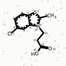 Cc1sc2ccc(Cl)cc2[n+]1CCC(=O)O